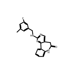 Cc1cc(F)cc(CNc2ncc3c(n2)-c2ccccc2NC(=O)C3)c1